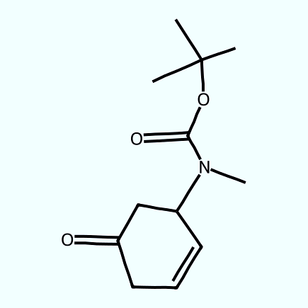 CN(C(=O)OC(C)(C)C)C1C=CCC(=O)C1